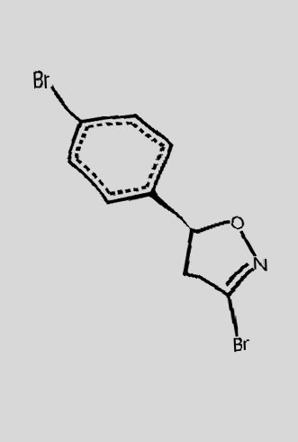 BrC1=NO[C@H](c2ccc(Br)cc2)C1